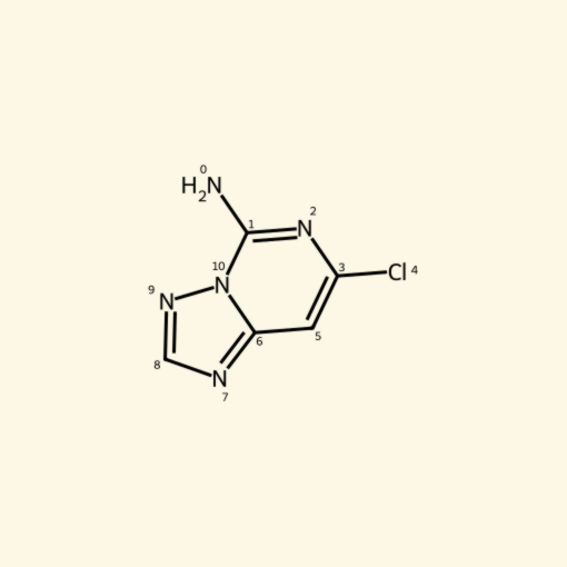 Nc1nc(Cl)cc2ncnn12